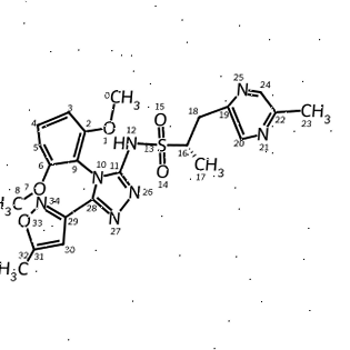 COc1cccc(OC)c1-n1c(NS(=O)(=O)[C@@H](C)Cc2cnc(C)cn2)nnc1-c1cc(C)on1